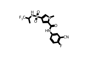 CC(NS(=O)(=O)c1cc(C(=O)Nc2ccc(F)c(C#N)c2)n(C)c1)C(F)(F)F